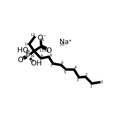 CCCCCCCCCCC(CC)(C(=O)[O-])P(=O)(O)O.[Na+]